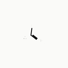 C=CF.[W]